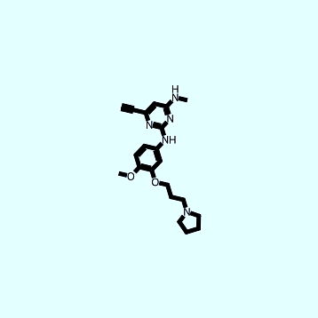 C#Cc1cc(NC)nc(Nc2ccc(OC)c(OCCCN3CCCC3)c2)n1